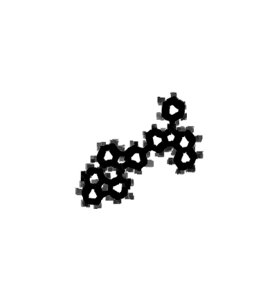 c1ccc(-n2c3ccc(-c4ccc5c(c4)c4ccccc4n5-c4nccc5c4-c4ccnc6cccc-5c46)cc3c3c4ccccc4ccc32)cc1